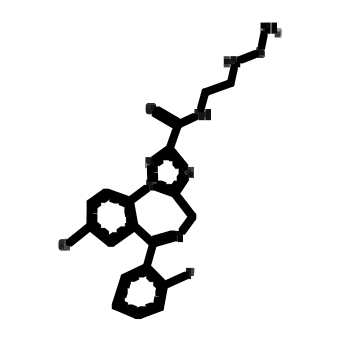 NSNCCNC(=O)c1nc2n(n1)-c1ccc(Cl)cc1C(c1ccccc1F)=NC2